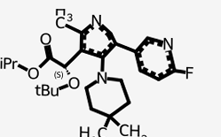 Cc1ncc(-c2ccc(F)nc2)c(N2CCC(C)(C)CC2)c1[C@H](OC(C)(C)C)C(=O)OC(C)C